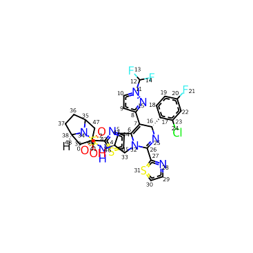 O=S(=O)(N[C@H]1CC2=C(c3ccn(C(F)F)n3)[C@H](c3ccc(F)cc3Cl)N=C(c3nccs3)N2C1)N1C2CC[C@@H]1CC(O)(c1nccs1)C2